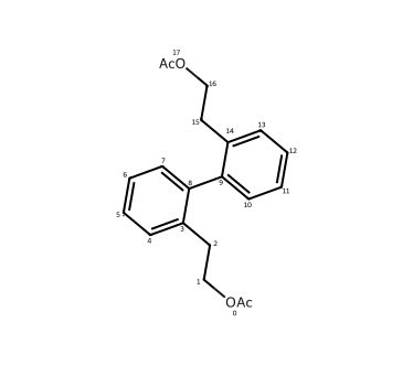 CC(=O)OCCc1c[c]ccc1-c1ccccc1CCOC(C)=O